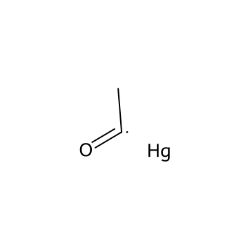 C[C]=O.[Hg]